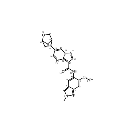 CC(C)Oc1cc2nn(C)cc2cc1NC(=O)c1cnn2cc(N3CC4CC3CO4)cnc12